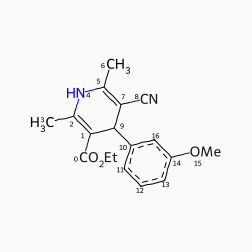 CCOC(=O)C1=C(C)NC(C)=C(C#N)C1c1cccc(OC)c1